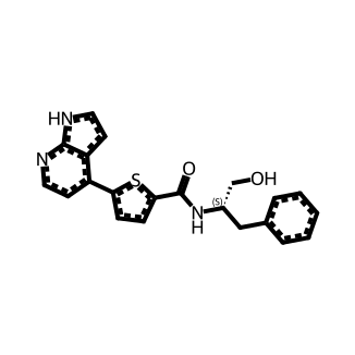 O=C(N[C@H](CO)Cc1ccccc1)c1ccc(-c2ccnc3[nH]ccc23)s1